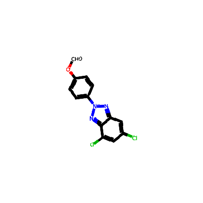 O=COc1ccc(-n2nc3cc(Cl)cc(Cl)c3n2)cc1